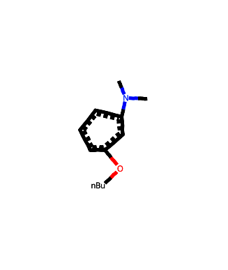 CCCCOc1cccc(N(C)C)c1